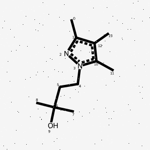 Cc1nn(CCC(C)(C)O)c(C)c1C